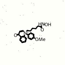 COc1ccc([N+]2(CCCCCC(=O)NO)C=CC(=O)c3ccccc32)cc1